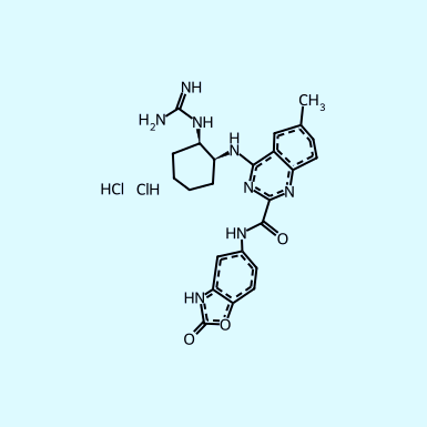 Cc1ccc2nc(C(=O)Nc3ccc4oc(=O)[nH]c4c3)nc(N[C@H]3CCCC[C@H]3NC(=N)N)c2c1.Cl.Cl